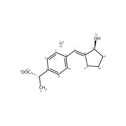 C[C@H](C(=O)[O-])c1ccc(/C=C2\SCC[C@@H]2O)cc1.[Li+]